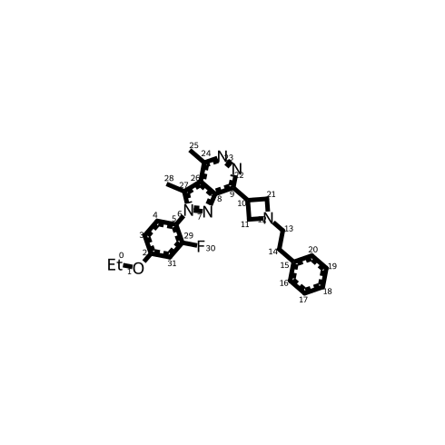 CCOc1ccc(-n2nc3c(C4CN(CCc5ccccc5)C4)nnc(C)c3c2C)c(F)c1